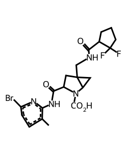 Cc1ccc(Br)nc1NC(=O)C1CC2(CNC(=O)C3CCCC3(F)F)CC2N1C(=O)O